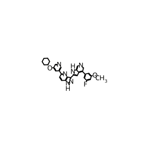 COc1cc(F)cc(-c2cncc3[nH]c(-c4n[nH]c5ccc(-c6cncc(OC7CCCCC7)c6)nc45)cc23)c1